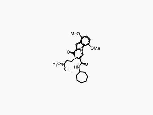 COc1ccc(OC)c2c1cc1c(=O)n(CCN(C)C)c(C(=O)NC3CCCCCC3)cn12